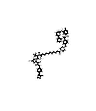 Cc1ccc(NC(=O)c2ccc(CN3CCN(C(=O)CCCCCCCCCC(=O)NC(C(=O)N4CC(O)CC4C(=O)NCc4ccc(-c5scnc5C)cc4)C(C)(C)C)CC3)cc2)cc1Nc1nccc(-c2cccnc2)n1